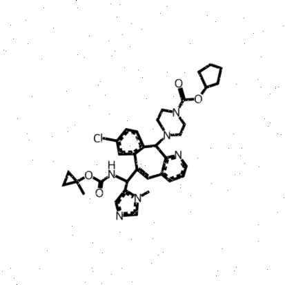 Cn1cncc1C(NC(=O)OC1(C)CC1)C1=Cc2cccnc2C(N2CCN(C(=O)OC3CCCC3)CC2)c2ccc(Cl)cc21